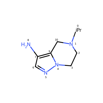 CC(C)N1CCn2ncc(N)c2C1